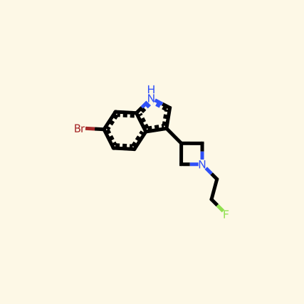 FCCN1CC(c2c[nH]c3cc(Br)ccc23)C1